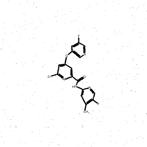 CCc1cc(Oc2cncc(F)c2)cc(C(=O)Nc2cc(C)c(F)cn2)n1